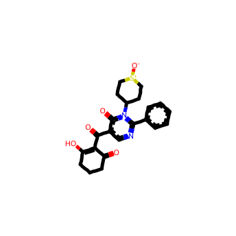 O=C1CCCC(O)=C1C(=O)c1cnc(-c2ccccc2)n(C2CC[S+]([O-])CC2)c1=O